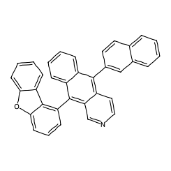 c1ccc2cc(-c3c4ccccc4c(-c4cccc5oc6ccccc6c45)c4cnccc34)ccc2c1